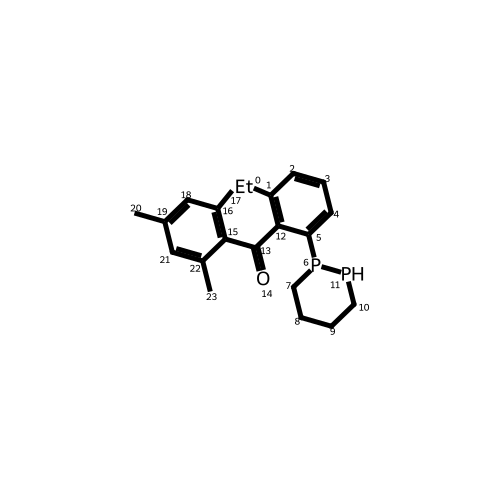 CCc1cccc(P2CCCCP2)c1C(=O)c1c(C)cc(C)cc1C